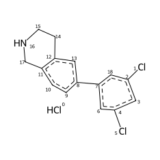 Cl.Clc1cc(Cl)cc(-c2ccc3c(c2)CCNC3)c1